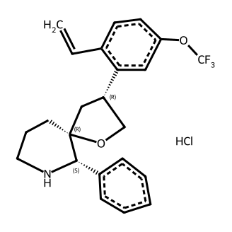 C=Cc1ccc(OC(F)(F)F)cc1[C@@H]1CO[C@]2(CCCN[C@H]2c2ccccc2)C1.Cl